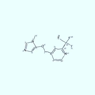 Cn1cncc1OCc1ccnc(C(F)(F)F)c1